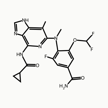 Cc1c(N(C)c2c(F)cc(C(N)=O)cc2OC(F)F)nc(NC(=O)C2CC2)c2nc[nH]c12